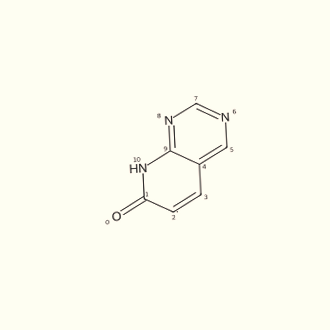 O=c1[c]cc2cncnc2[nH]1